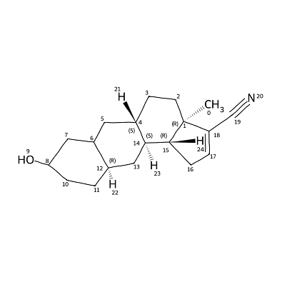 C[C@@]12CC[C@H]3CC4CC(O)CC[C@@H]4C[C@@H]3[C@H]1CC=C2C#N